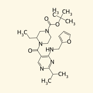 CCC1CN(C(=O)OC(C)(C)C)CCN1C(=O)c1cnc(C(C)C)nc1NCc1ccco1